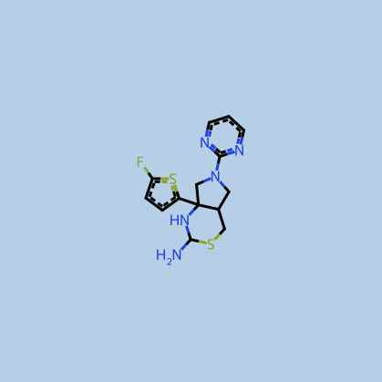 NC1NC2(c3ccc(F)s3)CN(c3ncccn3)CC2CS1